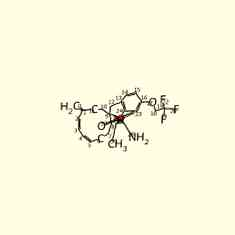 C=C1/C=C\C=C/CCCC2(CC1)Cc1ccc(OCC(F)(F)F)cc1C21N=C(N)N(C)C1=O